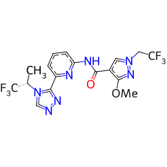 COc1nn(CC(F)(F)F)cc1C(=O)Nc1cccc(-c2nncn2[C@@H](C)C(F)(F)F)n1